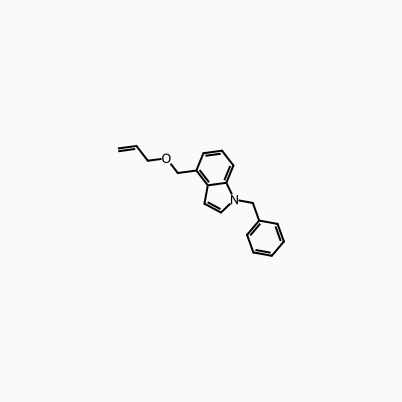 C=CCOCc1cccc2c1ccn2Cc1ccccc1